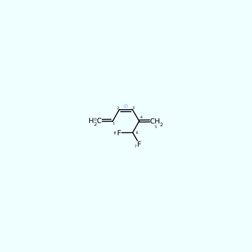 C=C/C=C\C(=C)C(F)F